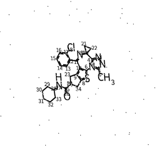 Cc1nnc2n1-c1sc3c(c1C(c1ccccc1Cl)=NC21CC1)C[C@H](C(=O)NC1CCCCC1)C3